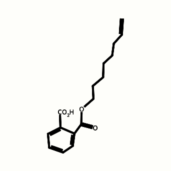 C=CCCCCCCOC(=O)c1ccccc1C(=O)O